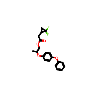 CC(COC(=O)CC1CC1(F)F)Oc1ccc(Oc2ccccc2)cc1